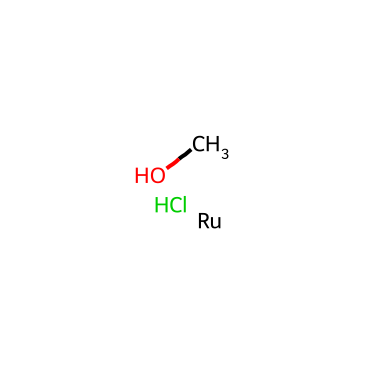 CO.Cl.[Ru]